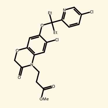 CCC(CC)(Oc1cc2c(cc1Cl)N(CCC(=O)OC)C(=O)CO2)c1ccc(Cl)cn1